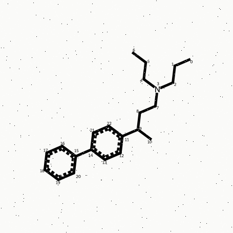 CCCN(CCC)CCC(C)c1ccc(-c2ccccc2)cc1